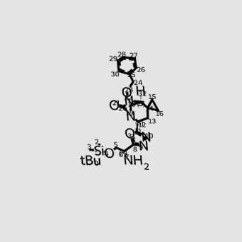 CC(C)(C)[Si](C)(C)OC[C@@H](N)c1nnc([C@@H]2CC3(CC3)[C@H]3CN2C(=O)N3OCc2ccccc2)o1